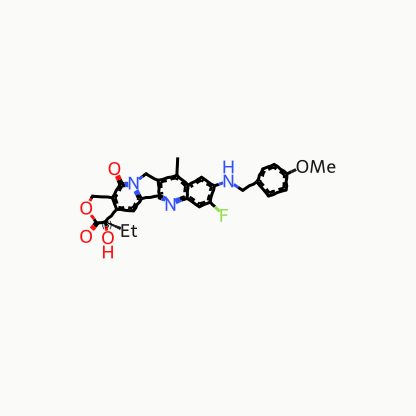 CC[C@@]1(O)C(=O)OCc2c1cc1n(c2=O)Cc2c-1nc1cc(F)c(NCc3ccc(OC)cc3)cc1c2C